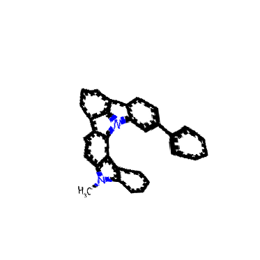 Cn1c2ccccc2c2c1ccc1c3cccc4c5ccc(-c6ccccc6)cc5n(c43)c12